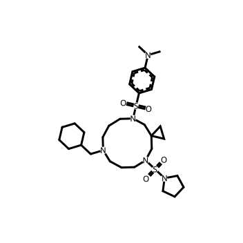 CN(C)c1ccc(S(=O)(=O)N2CCCN(CC3CCCCC3)CCCN(S(=O)(=O)N3CCCC3)CC3(CC3)C2)cc1